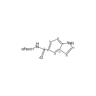 CCCCCNC(=O)c1ccc2[nH]ccc2c1